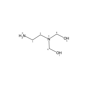 NCCN(CO)CO